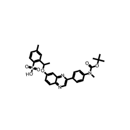 Cc1ccc(S(=O)(=O)O)c(C(C)Oc2ccc3ncc(-c4ccc(N(C)C(=O)OC(C)(C)C)cc4)nc3c2)c1